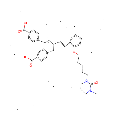 CN1CCCN(CCCCCOc2ccccc2C=CC(CCc2ccc(C(=O)O)cc2)Cc2ccc(C(=O)O)cc2)C1=O